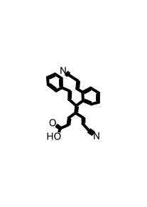 N#CC=CC(C=CC(=O)O)=C(C=Cc1ccccc1)c1ccccc1C=CC#N